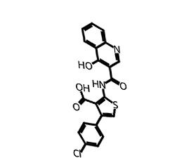 O=C(Nc1scc(-c2ccc(Cl)cc2)c1C(=O)O)c1cnc2ccccc2c1O